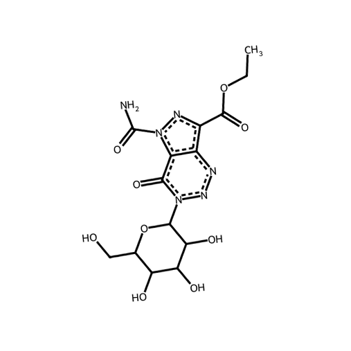 CCOC(=O)c1nn(C(N)=O)c2c(=O)n(C3OC(CO)C(O)C(O)C3O)nnc12